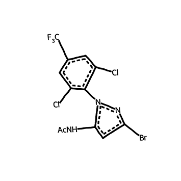 CC(=O)Nc1cc(Br)nn1-c1c(Cl)cc(C(F)(F)F)cc1Cl